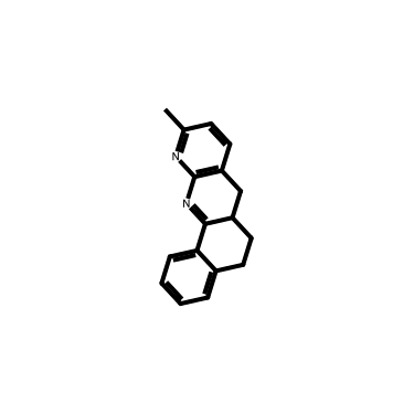 Cc1ccc2c(n1)N=C1c3ccccc3CCC1C2